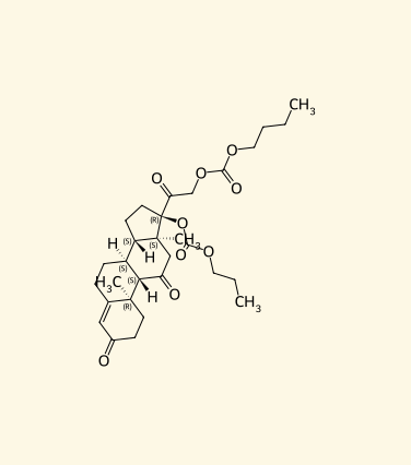 CCCCOC(=O)OCC(=O)[C@@]1(OC(=O)OCCC)CC[C@H]2[C@@H]3CCC4=CC(=O)CC[C@]4(C)[C@H]3C(=O)C[C@@]21C